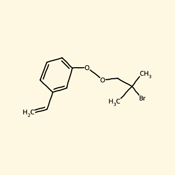 C=Cc1cccc(OOCC(C)(C)Br)c1